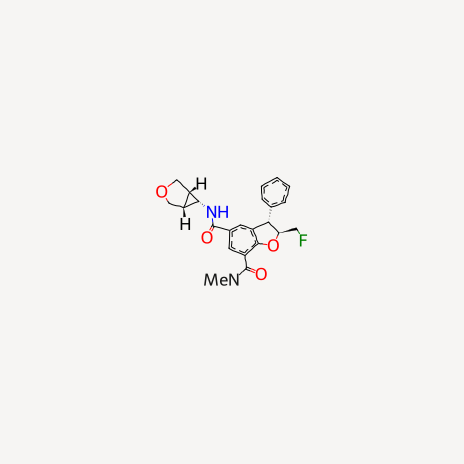 CNC(=O)c1cc(C(=O)N[C@@H]2[C@@H]3COC[C@@H]32)cc2c1O[C@H](CF)[C@H]2c1ccccc1